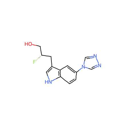 OC[C@@H](F)Cc1c[nH]c2ccc(-n3cnnc3)cc12